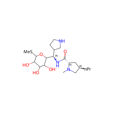 CCC[C@@H]1C[C@@H](C(=O)N[C@H](C2CCNC2)C2OC(SC)C(O)C(O)C2O)N(C)C1